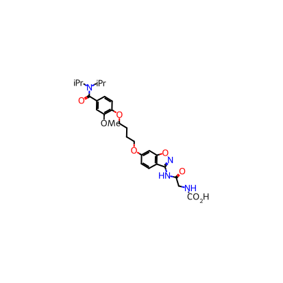 COc1cc(C(=O)N(C(C)C)C(C)C)ccc1OCCCCOc1ccc2c(NC(=O)CNC(=O)O)noc2c1